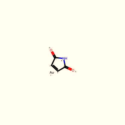 O=C1C=CC(=O)N1.[Au]